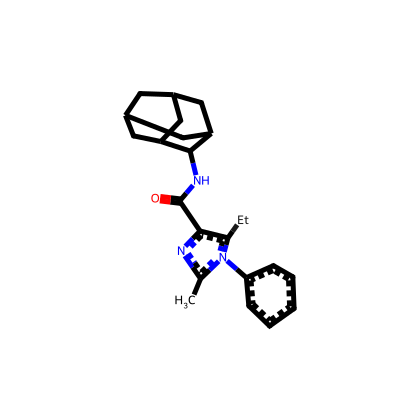 CCc1c(C(=O)NC2C3CC4CC(C3)CC2C4)nc(C)n1-c1ccccc1